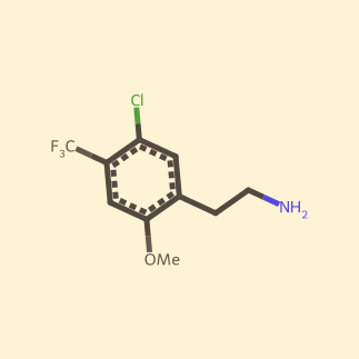 COc1cc(C(F)(F)F)c(Cl)cc1CCN